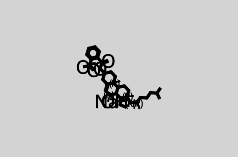 CC(C)CCC[C@@H](C)[C@H]1CCC2C3C(CC[C@@]21C)[C@@]1(C)CCC(OC(=O)c2ccccc2C(=O)[O-])CC1=C[C@@H]3O.[Na+]